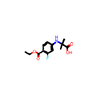 CCOC(=O)c1ccc(NC(C)(C)C(=O)O)cc1F